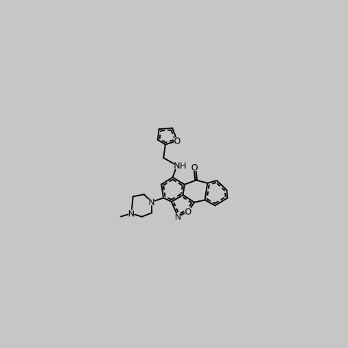 CN1CCN(c2cc(NCc3ccco3)c3c4c(onc24)-c2ccccc2C3=O)CC1